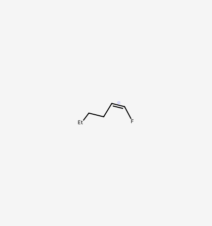 CCCC/C=C\F